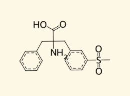 CS(=O)(=O)c1cccc(CC(N)(Cc2ccccc2)C(=O)O)c1